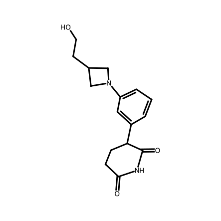 O=C1CCC(c2cccc(N3CC(CCO)C3)c2)C(=O)N1